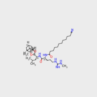 CNC(=N)NCCC[C@H](NC(=O)CCCCCCCCCCC#N)C(=O)N[C@@H](CC(C)C)B1O[C@@H]2C[C@@H]3C[C@@H](C3(C)C)[C@]2(C)O1